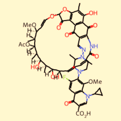 COc1c(N2CCN(/N=C/C3=C4NC(=O)/C(C)=C\C=C\[C@H](C)[C@H](O)[C@@H](C)[C@@H](O)[C@@H](C)[C@H](OC(C)=O)[C@H](C)[C@@H](OC)/C=C/O[C@@]5(C)Oc6c(C)c(O)c(c(c6C5=O)C3=O)C4=O)C(C)C2)c(F)cc2c(=O)c(C(=O)O)cn(C3CC3)c12